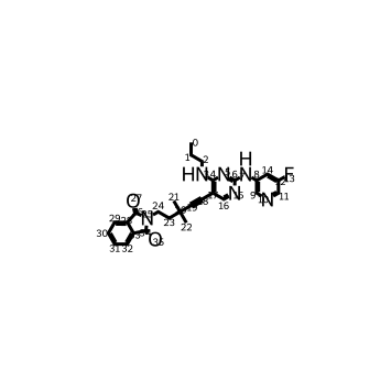 CCCNc1nc(Nc2cncc(F)c2)ncc1C#CC(C)(C)CCN1C(=O)c2ccccc2C1=O